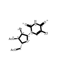 CC(=O)OC[C@H]1O[C@@H](n2cc(Cl)c(=O)[nH]c2=O)[C@H](Br)[C@@H]1OC(C)=O